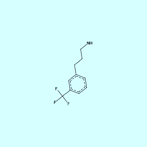 [NH]CCCc1cccc(C(F)(F)F)c1